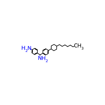 CCCCCCCC1CCC(c2ccc(C(N)c3ccc(N)cc3)cc2)CC1